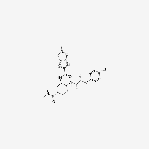 CN1Cc2sc(C(=O)N[C@@H]3C[C@@H](C(=O)N(C)C)CC[C@@H]3NC(=O)C(=O)Nc3ccc(Cl)cn3)nc2O1